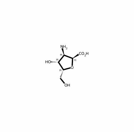 N[C@@H]1[C@@H](O)[C@@H](CO)O[C@@H]1C(=O)O